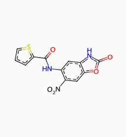 O=C(Nc1cc2[nH]c(=O)oc2cc1[N+](=O)[O-])c1cccs1